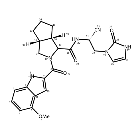 COc1cccc2[nH]c(C(=O)N3C[C@@H]4CCC[C@@H]4C3C(=O)N[C@H](C#N)Cn3cc[nH]c3=O)cc12